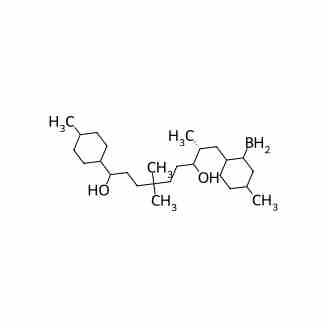 BC1CC(C)CCC1C[C@@H](C)C(O)CCC(C)(C)CCC(O)C1CCC(C)CC1